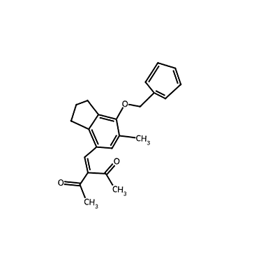 CC(=O)C(=Cc1cc(C)c(OCc2ccccc2)c2c1CCC2)C(C)=O